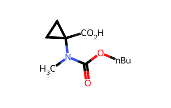 CCCCOC(=O)N(C)C1(C(=O)O)CC1